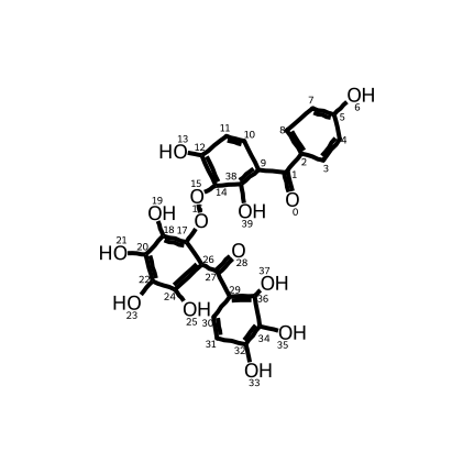 O=C(c1ccc(O)cc1)c1ccc(O)c(OOc2c(O)c(O)c(O)c(O)c2C(=O)c2ccc(O)c(O)c2O)c1O